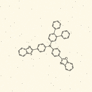 c1ccc(-c2ccc(N(c3ccc(-c4nc5ccccc5o4)cc3)c3ccc(-c4nc5ccccc5s4)cc3)cc2-c2ccccc2)cc1